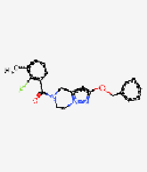 Cc1cccc(C(=O)N2CCn3nc(OCc4ccccc4)cc3C2)c1F